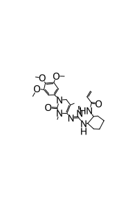 C=CC(=O)N[C@H]1CCCC[C@H]1N/C(N=C)=N/C1=C(C)CN(c2cc(OC)c(OC)c(OC)c2)C(=O)N1C